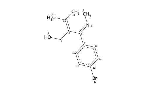 C/N=C(\C(CO)=C(C)C)c1ccc(Br)cc1